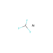 F[C](F)F.[Ar]